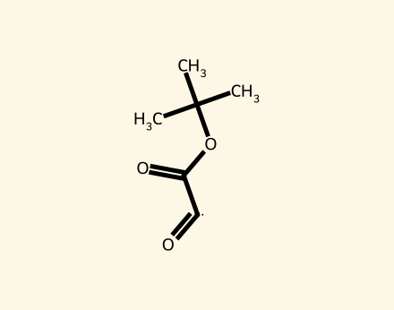 CC(C)(C)OC(=O)[C]=O